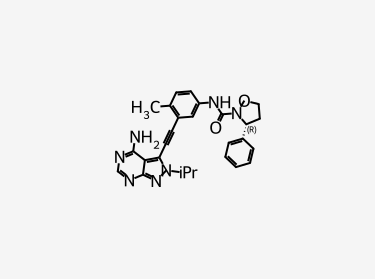 Cc1ccc(NC(=O)N2OCC[C@@H]2c2ccccc2)cc1C#Cc1c2c(N)ncnc2nn1C(C)C